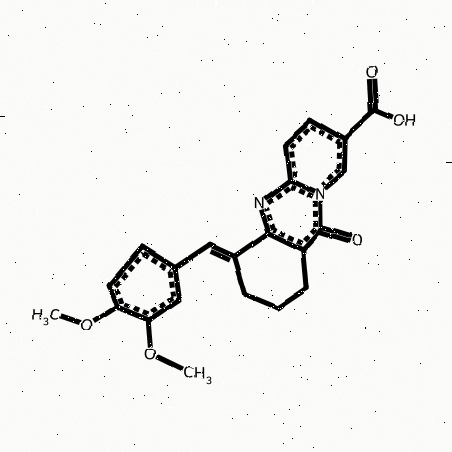 COc1ccc(C=C2CCCc3c2nc2ccc(C(=O)O)cn2c3=O)cc1OC